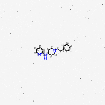 c1ccc(CCN2CCC(Nc3ccccn3)CC2)cc1